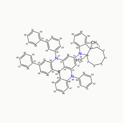 CC12CCCCCCC1(C)N(c1cc3c4c(c1)N(c1cccc(-c5ccccc5)c1)c1cc(-c5ccccc5)ccc1B4c1ccccc1N3c1ccccc1)c1ccccc12